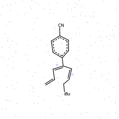 C=C/C=C(\C=C/CC(C)CC)c1ccc(C#N)cc1